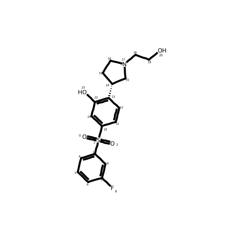 O=S(=O)(c1cccc(F)c1)c1ccc([C@@H]2CCN(CCO)C2)c(O)c1